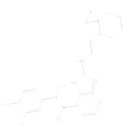 N=C(c1ccnc2nc(NCCN3CCCCC34CC4)[nH]c12)N(O)c1ccc(F)c(Cl)c1